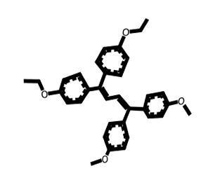 CCOc1ccc(C(=CC=C(c2ccc(OC)cc2)c2ccc(OC)cc2)c2ccc(OCC)cc2)cc1